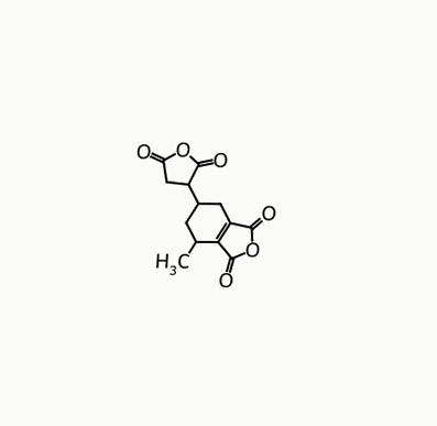 CC1CC(C2CC(=O)OC2=O)CC2=C1C(=O)OC2=O